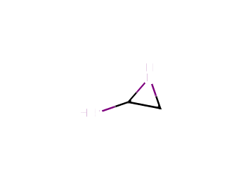 PC1CP1